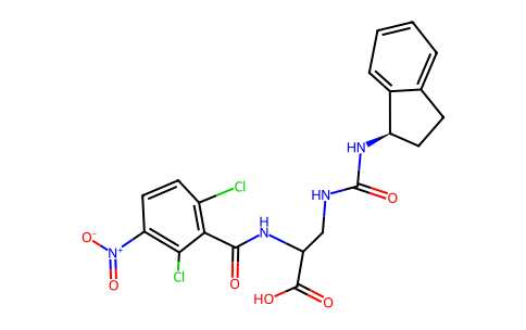 O=C(NCC(NC(=O)c1c(Cl)ccc([N+](=O)[O-])c1Cl)C(=O)O)N[C@@H]1CCc2ccccc21